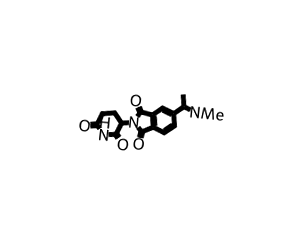 CNC(C)c1ccc2c(c1)C(=O)N(C1CCC(=O)NC1=O)C2=O